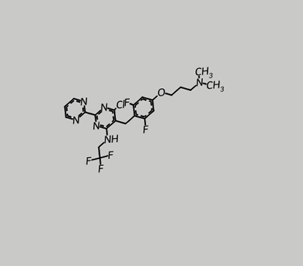 CN(C)CCCOc1cc(F)c(Cc2c(Cl)nc(-c3ncccn3)nc2NCC(F)(F)F)c(F)c1